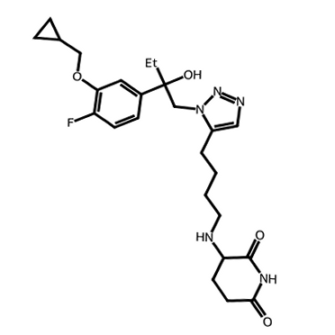 CCC(O)(Cn1nncc1CCCCNC1CCC(=O)NC1=O)c1ccc(F)c(OCC2CC2)c1